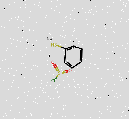 O=[S-](=O)Cl.Sc1ccccc1.[Na+]